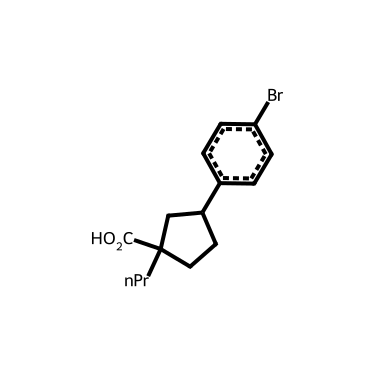 CCCC1(C(=O)O)CCC(c2ccc(Br)cc2)C1